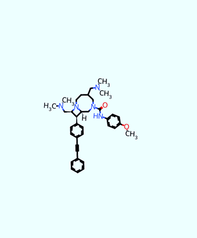 COc1ccc(NC(=O)N2CC(CN(C)C)CCN3[C@H](CN(C)C)[C@H](c4ccc(C#Cc5ccccc5)cc4)[C@@H]3C2)cc1